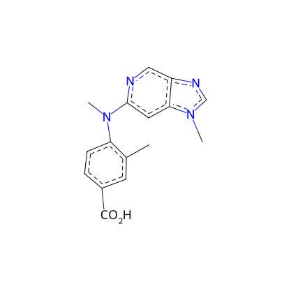 Cc1cc(C(=O)O)ccc1N(C)c1cc2c(cn1)ncn2C